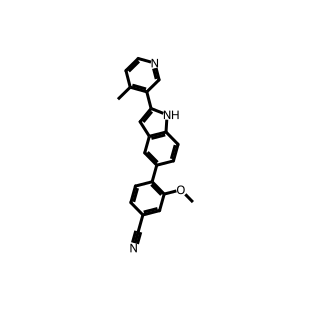 COc1cc(C#N)ccc1-c1ccc2[nH]c(-c3cnccc3C)cc2c1